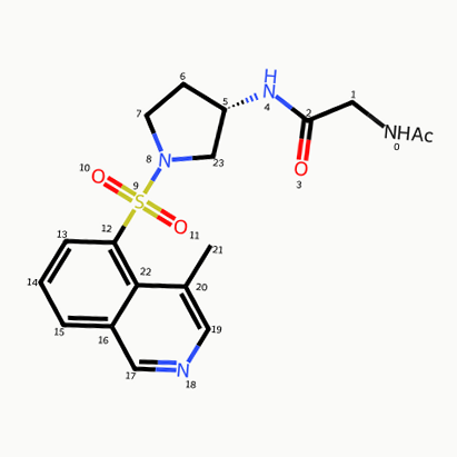 CC(=O)NCC(=O)N[C@H]1CCN(S(=O)(=O)c2cccc3cncc(C)c23)C1